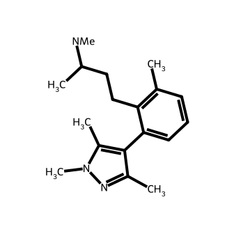 CNC(C)CCc1c(C)cccc1-c1c(C)nn(C)c1C